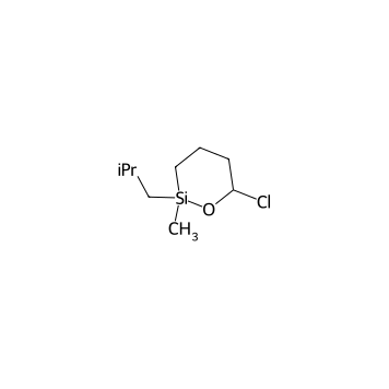 CC(C)C[Si]1(C)CCCC(Cl)O1